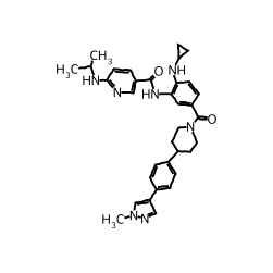 CC(C)Nc1ccc(C(=O)Nc2cc(C(=O)N3CCC(c4ccc(-c5cnn(C)c5)cc4)CC3)ccc2NC2CC2)cn1